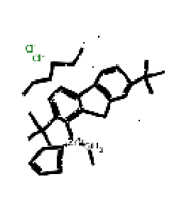 CCCCCC.C[SiH2][Zr+2]([C]1=CC=CC1)[c]1c(C(C)(C)C)ccc2c1Cc1cc(C(C)(C)C)ccc1-2.[Cl-].[Cl-]